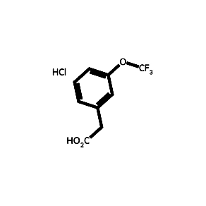 Cl.O=C(O)Cc1cccc(OC(F)(F)F)c1